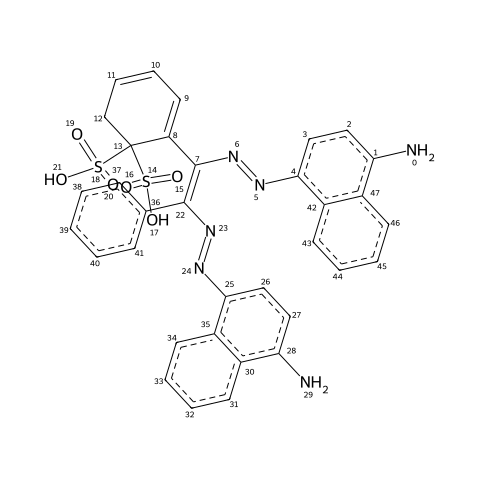 Nc1ccc(N=NC(C2=CC=CCC2(S(=O)(=O)O)S(=O)(=O)O)=C(N=Nc2ccc(N)c3ccccc23)c2ccccc2)c2ccccc12